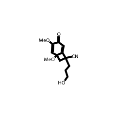 COC1=CC2(OC)CC(C#N)(CCCO)C2=CC1=O